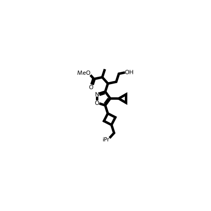 COC(=O)C(C)C(CCO)c1noc(C2CC(CC(C)C)C2)c1C1CC1